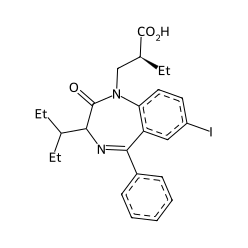 CCC(CC)C1N=C(c2ccccc2)c2cc(I)ccc2N(C[C@H](CC)C(=O)O)C1=O